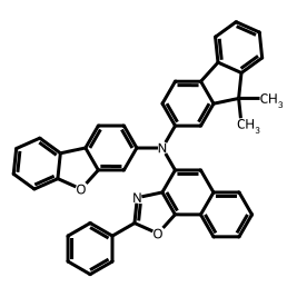 CC1(C)c2ccccc2-c2ccc(N(c3ccc4c(c3)oc3ccccc34)c3cc4ccccc4c4oc(-c5ccccc5)nc34)cc21